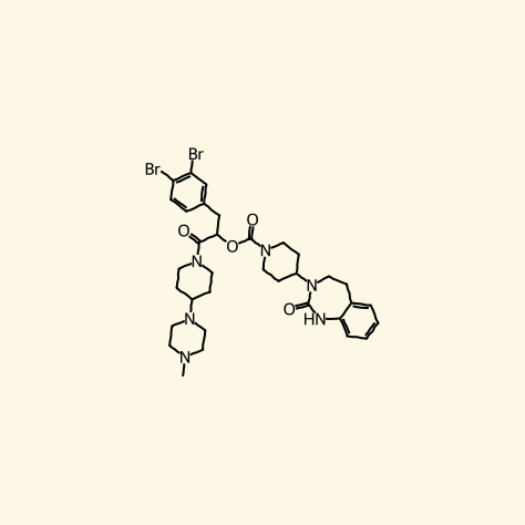 CN1CCN(C2CCN(C(=O)C(Cc3ccc(Br)c(Br)c3)OC(=O)N3CCC(N4CCc5ccccc5NC4=O)CC3)CC2)CC1